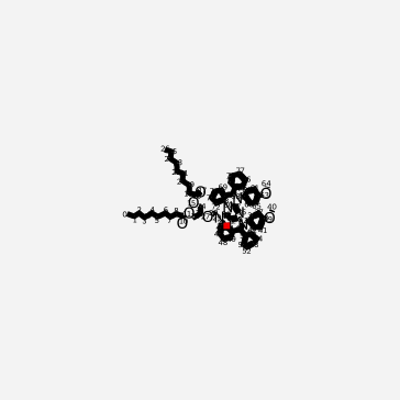 CCCCCCCCCC(=O)OCC(COC(=O)CCCCCCCCC)OCn1cnc2c(N(c3ccc(OC)cc3)C(c3ccccc3)c3ccccc3)nc(N(c3ccc(OC)cc3)C(c3ccccc3)c3ccccc3)nc21